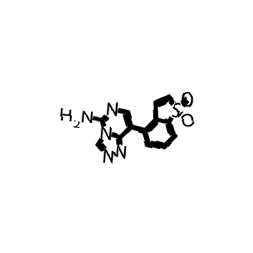 Nc1ncc(-c2cccc3c2C=CS3(=O)=O)c2nncn12